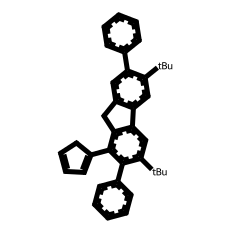 CC(C)(C)c1cc2c(cc1-c1ccccc1)Cc1c-2cc(C(C)(C)C)c(-c2ccccc2)c1C1=CC=CC1